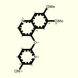 COc1cc2nccc(Oc3ccc(N=O)cn3)c2cc1OC